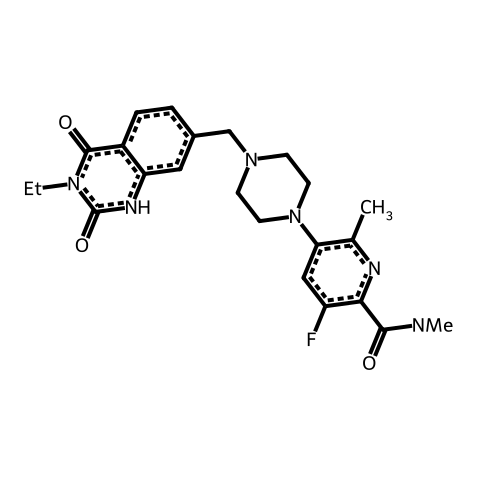 CCn1c(=O)[nH]c2cc(CN3CCN(c4cc(F)c(C(=O)NC)nc4C)CC3)ccc2c1=O